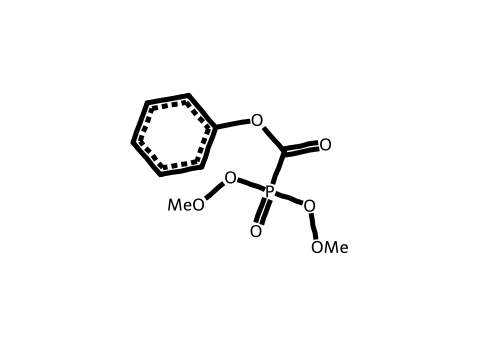 COOP(=O)(OOC)C(=O)Oc1ccccc1